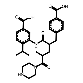 CC(CC(Cc1ccc(C(=O)O)cc1)C(=O)Nc1cc(C(=O)O)ccc1C(C)C)C(=O)N1CCNCC1